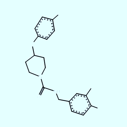 O=C(NCc1ccc(Cl)c(Cl)c1)N1CCC(Oc2ccc(Cl)cc2)CC1